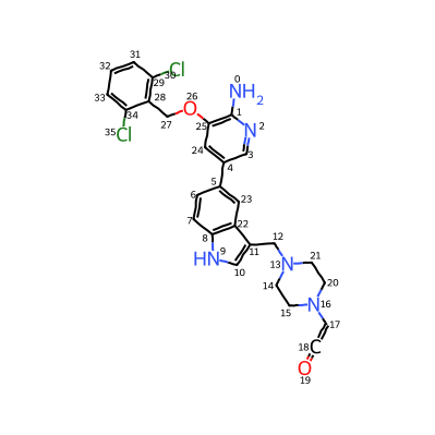 Nc1ncc(-c2ccc3[nH]cc(CN4CCN(C=C=O)CC4)c3c2)cc1OCc1c(Cl)cccc1Cl